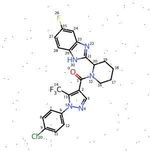 O=C(c1cnn(-c2ccc(Cl)cc2)c1C(F)(F)F)N1CCCCC1c1nc2cc(F)ccc2[nH]1